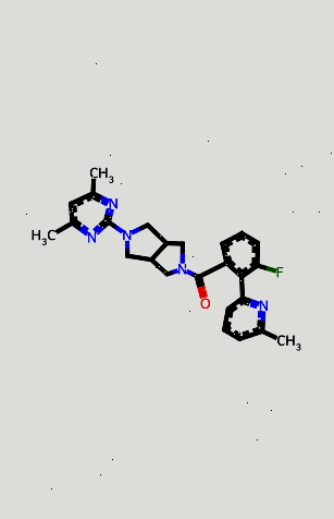 Cc1cccc(-c2c(F)cccc2C(=O)N2CC3CN(c4nc(C)cc(C)n4)CC3C2)n1